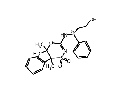 CC1(C)OC(N[C@@H](CCO)c2ccccc2)=NS(=O)(=O)C1(C)c1ccccc1